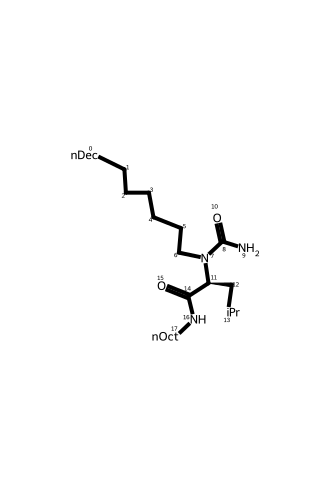 CCCCCCCCCCCCCCCCN(C(N)=O)[C@@H](CC(C)C)C(=O)NCCCCCCCC